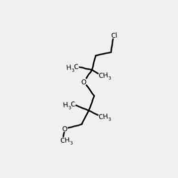 COCC(C)(C)COC(C)(C)CCCl